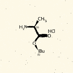 CC[C@H](C)OC(=O)[C@H](C)N.Cl